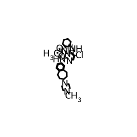 CN1CCN(C2CCc3ccc(Nc4ncc(Cl)c(N[C@@H]5CCCC[C@H]5NS(C)(=O)=O)n4)cc3CC2)CC1